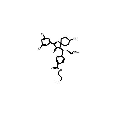 COCC[C@H](c1ccc(C(=O)NCCC(=O)O)cc1)N1C(=O)C(c2cc(Cl)cc(Cl)c2)=NC12CCC(C(C)(C)C)CC2